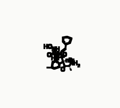 CCC[C@](C(=O)NN)(C(=O)[C@@H](C)N)c1ccc(C)cc1[C@H](C/C=C/c1ccccc1)C(=O)NO